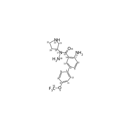 Nc1ccc(-c2ccc(OC(F)(F)F)cc2)cc1C(=O)N(N)C1CCNC1